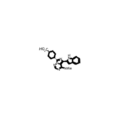 CNc1ncnn2c1c(-c1cc3ccccc3[nH]1)nc2[C@H]1CC[C@H](C(=O)O)CC1